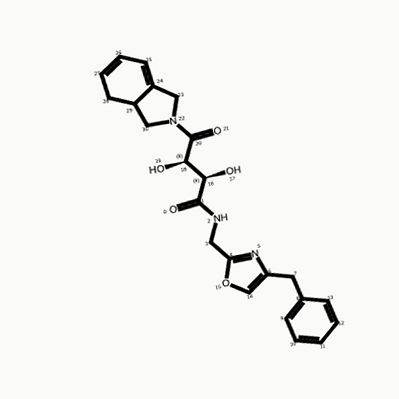 O=C(NCc1nc(Cc2ccccc2)co1)[C@H](O)[C@@H](O)C(=O)N1CC2=CC=CCC2C1